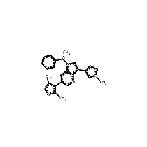 Cc1noc(C)c1-c1cnc2c(-c3cnn(C)c3)cn([C@@H](C)c3ccccc3)c2c1